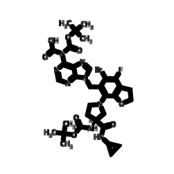 CC(C)(C)OC(=O)N[C@]1(C(=O)NC2CC2)CCN(c2c(Cn3cnc4c(N(C(=O)O)C(=O)OC(C)(C)C)ncnc43)c(Br)c(F)c3c2OCC3)C1